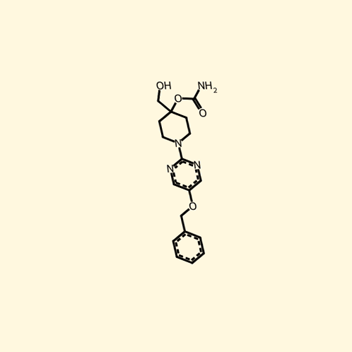 NC(=O)OC1(CO)CCN(c2ncc(OCc3ccccc3)cn2)CC1